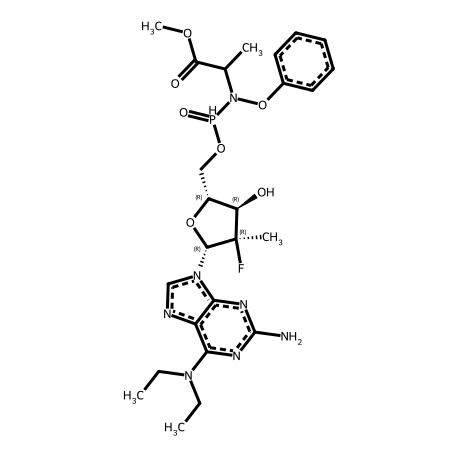 CCN(CC)c1nc(N)nc2c1ncn2[C@@H]1O[C@H](CO[PH](=O)N(Oc2ccccc2)C(C)C(=O)OC)[C@@H](O)[C@@]1(C)F